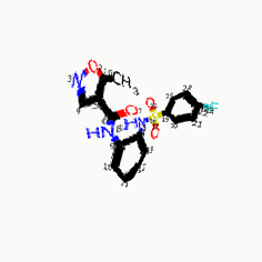 Cc1oncc1C(=O)Nc1ccccc1NS(=O)(=O)c1ccc(F)cc1